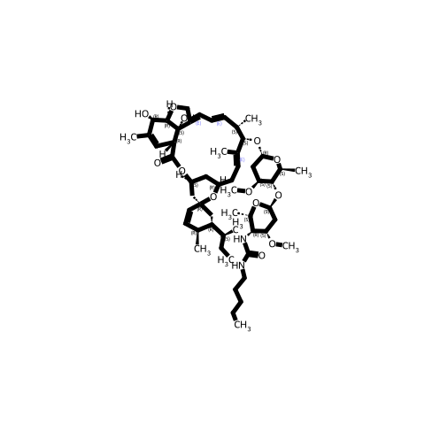 CCCCCNC(=O)N[C@@H]1[C@H](C)O[C@@H](O[C@H]2[C@H](C)O[C@@H](O[C@@H]3/C(C)=C/C[C@@H]4C[C@@H](C[C@]5(C=C[C@H](C)[C@@H]([C@@H](C)CC)C5)O4)OC(=O)[C@@H]4C=C(C)[C@@H](O)[C@H]5OC/C(=C\C=C\[C@@H]3C)[C@]54O)C[C@@H]2OC)C[C@@H]1OC